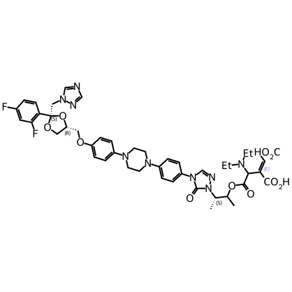 CCN(CC)C(C(=O)OC(C)[C@H](C)n1ncn(-c2ccc(N3CCN(c4ccc(OC[C@@H]5CO[C@@](Cn6cncn6)(c6ccc(F)cc6F)O5)cc4)CC3)cc2)c1=O)/C(=C\C(=O)O)C(=O)O